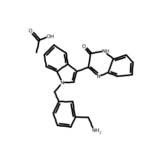 CC(=O)O.NCc1cccc(Cn2cc(-c3nc4ccccc4[nH]c3=O)c3ccccc32)c1